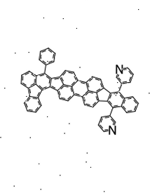 c1ccc(-c2c3cccc4c5ccccc5c(c34)c3c4ccc5c6ccc7c8c(ccc(c9ccc(c23)c4c95)c86)-c2c-7c(-c3cccnc3)c3ccccc3c2-c2cccnc2)cc1